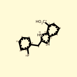 O=C(O)c1cccc2nc(Cc3ccccc3F)[nH]c12